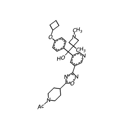 CC(=O)N1CCC(c2nc(-c3cncc(C(O)(c4ccc(OC5CCC5)cc4)C4(C)CN(C)C4)c3)no2)CC1